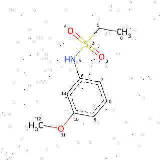 CCS(=O)(=O)Nc1cccc(OC)c1